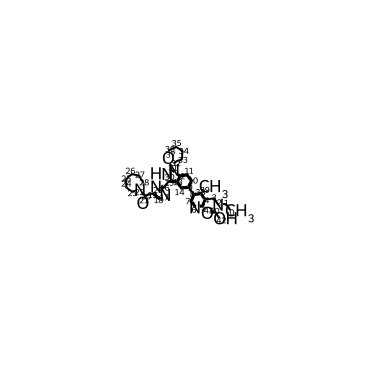 CCN(Cc1cncc(-c2ccc3c(c2)c(-c2ncc(C(=O)N4CCCCCC4)[nH]2)nn3C2CCCCO2)c1C)C(=O)O